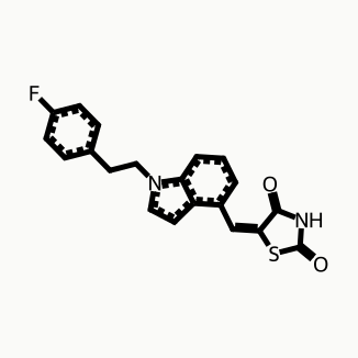 O=C1NC(=O)C(=Cc2cccc3c2ccn3CCc2ccc(F)cc2)S1